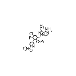 Cc1nc(Cc2cc(Cl)c(F)c(-c3ccc(C(=O)N4CCCC4)nc3)c2OC(C)C)n2ccnc(N)c12